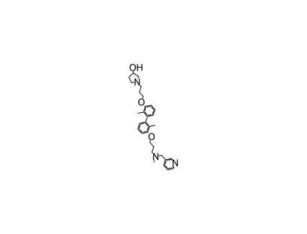 Cc1c(OCCCN(C)Cc2cccnc2)cccc1-c1cccc(OCCCN2CC[C@@H](O)C2)c1C